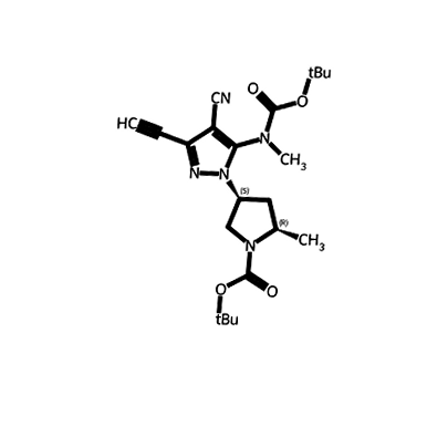 C#Cc1nn([C@H]2C[C@@H](C)N(C(=O)OC(C)(C)C)C2)c(N(C)C(=O)OC(C)(C)C)c1C#N